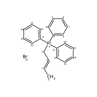 CC=CC[P+](c1ccccc1)(c1ccccc1)c1ccccc1.[Br-]